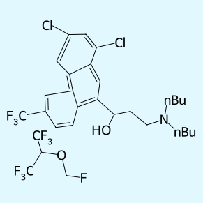 CCCCN(CCCC)CCC(O)c1cc2c(Cl)cc(Cl)cc2c2cc(C(F)(F)F)ccc12.FCOC(C(F)(F)F)C(F)(F)F